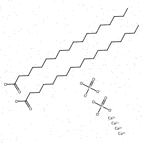 CCCCCCCCCCCCCCCCCC(=O)[O-].CCCCCCCCCCCCCCCCCC(=O)[O-].O=P([O-])([O-])[O-].O=P([O-])([O-])[O-].[Ca+2].[Ca+2].[Ca+2].[Ca+2]